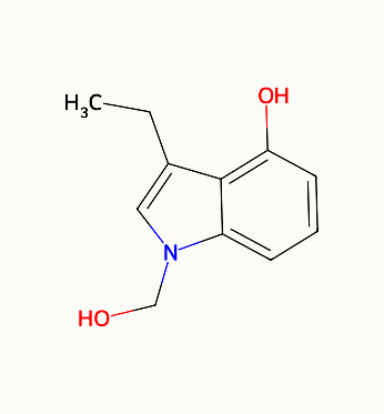 CCc1cn(CO)c2cccc(O)c12